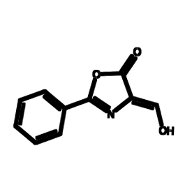 O=C1OC(c2ccccc2)=NC1=CO